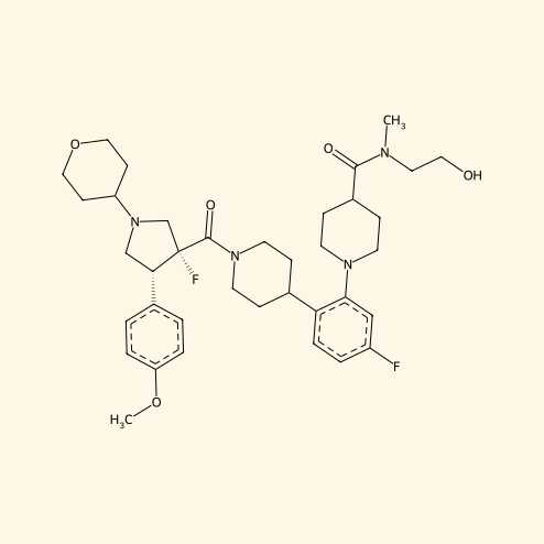 COc1ccc([C@@H]2CN(C3CCOCC3)C[C@@]2(F)C(=O)N2CCC(c3ccc(F)cc3N3CCC(C(=O)N(C)CCO)CC3)CC2)cc1